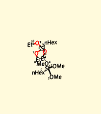 CCCCCC[Si](OC)(OC)OC.CCCCCC[Si](OCC)(OCC)OCC